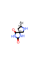 CC(=O)[C@@H]1C[C@@]2(CN1)NC(=O)NC2=O